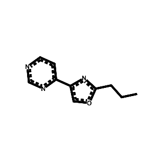 CCCc1nc(-c2ccncn2)co1